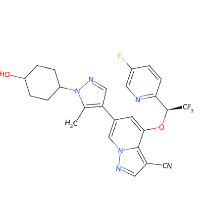 Cc1c(-c2cc(O[C@@H](c3ccc(F)cn3)C(F)(F)F)c3c(C#N)cnn3c2)cnn1C1CCC(O)CC1